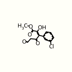 COC(=O)C(O)=C(C(=O)CC=O)c1cccc(Cl)c1